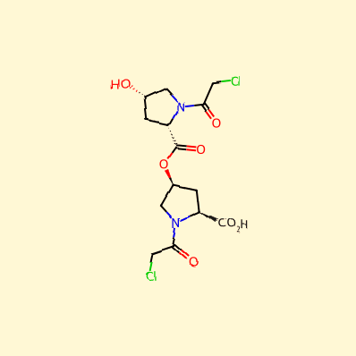 O=C(O)[C@@H]1C[C@H](OC(=O)[C@@H]2C[C@H](O)CN2C(=O)CCl)CN1C(=O)CCl